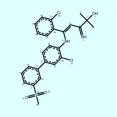 CC(C)(O)C(=N)/C=C(\Nc1ccc(-c2cccc(S(C)(=O)=O)c2)cc1Cl)c1ccccc1Cl